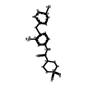 O=C(Nc1ccc(Cc2ccc(Cl)nn2)c(C(F)(F)F)c1)C1CCS(=O)(=O)CC1